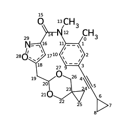 Cc1cc(C#CC2CC2)ccc1N(C)C(=O)c1cc(CC2OCC3(CC3)CO2)on1